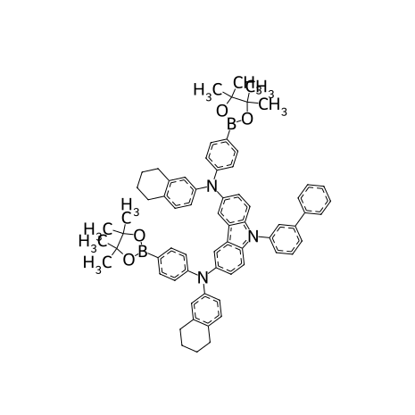 CC1(C)OB(c2ccc(N(c3ccc4c(c3)CCCC4)c3ccc4c(c3)c3cc(N(c5ccc(B6OC(C)(C)C(C)(C)O6)cc5)c5ccc6c(c5)CCCC6)ccc3n4-c3cccc(-c4ccccc4)c3)cc2)OC1(C)C